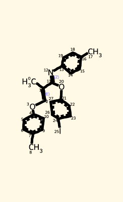 CC(=C\Oc1ccc(C)cc1)/C(=N/c1ccc(C)cc1)Oc1ccc(I)cc1